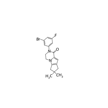 CC1(C)Cc2cc3n(c2C1)CCN(c1cc(F)cc(Br)c1)C3=O